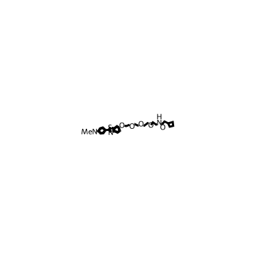 CNc1ccc(-c2nc3ccc(OCCOCCOCCOCCNC(=O)CC4CCC4)cc3s2)cc1